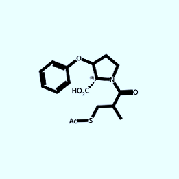 CC(=O)SCC(C)C(=O)N1CCC(Oc2ccccc2)[C@H]1C(=O)O